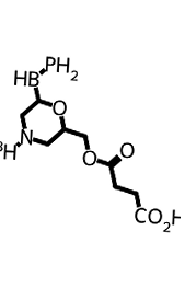 [3H]N1CC(BP)OC(COC(=O)CCC(=O)O)C1